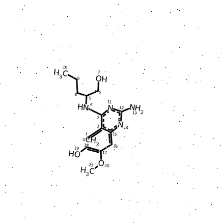 C/C=c1/c(NC(CO)CCC)nc(N)n/c1=C/C(=C/O)OC